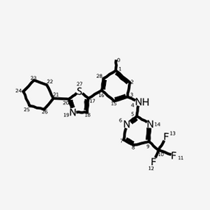 Cc1cc(Nc2nccc(C(F)(F)F)n2)cc(-c2cnc(C3CCCCC3)s2)c1